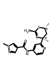 C[C@@H]1C[C@@](C)(c2cc(NC(=O)c3cnn(C)c3)ccn2)N=C(N)S1